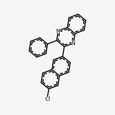 Clc1ccc2cc(-c3nc4ccccc4nc3-c3ccccc3)ccc2c1